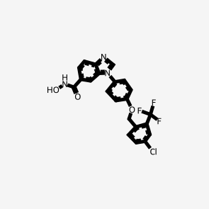 O=C(NO)c1ccc2ncn(-c3ccc(OCc4ccc(Cl)cc4C(F)(F)F)cc3)c2c1